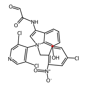 O=CC(=O)NC1=C[N+](Cc2ccc(Cl)cc2[N+](=O)[O-])(c2c(Cl)cncc2Cl)c2c(O)cccc21